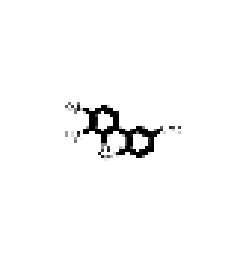 COc1ccc(OC)c(-c2ccc([N+](=O)[O-])c(C)c2C(=O)O)c1